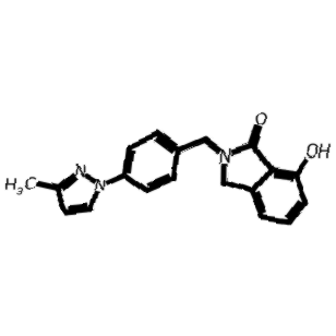 Cc1ccn(-c2ccc(CN3Cc4cccc(O)c4C3=O)cc2)n1